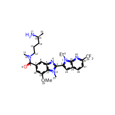 CCn1c(-c2nc3cc(C(=O)N(C)CCC[C@H](C)N)cc(OC)c3n2C)cc2ccc(C(F)(F)F)nc21